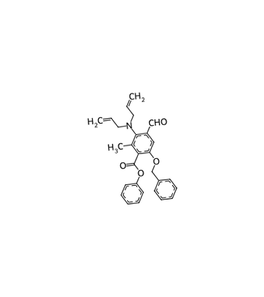 C=CCN(CC=C)c1c(C=O)cc(OCc2ccccc2)c(C(=O)Oc2ccccc2)c1C